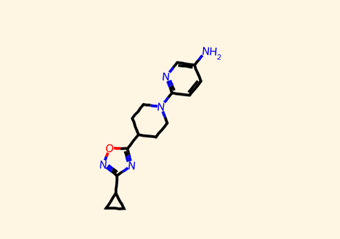 Nc1ccc(N2CCC(c3nc(C4CC4)no3)CC2)nc1